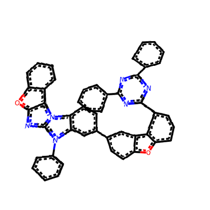 c1ccc(-c2nc(-c3ccccc3)nc(-c3cccc4oc5ccc(-c6ccc7c(c6)n(-c6ccccc6)c6nc8oc9ccccc9c8n76)cc5c34)n2)cc1